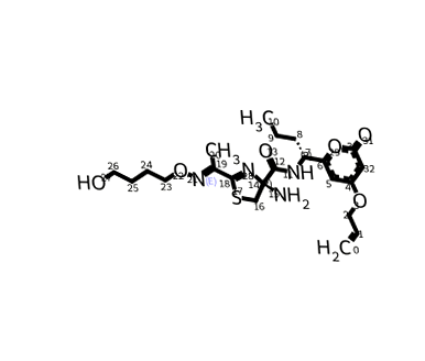 C=CCOc1cc([C@@H](CCC)NC(=O)[C@]2(N)CSC(/C(C)=N/OCCCCO)=N2)oc(=O)c1